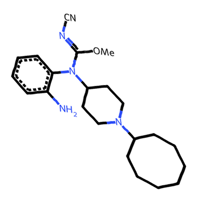 CO/C(=N\C#N)N(c1ccccc1N)C1CCN(C2CCCCCCC2)CC1